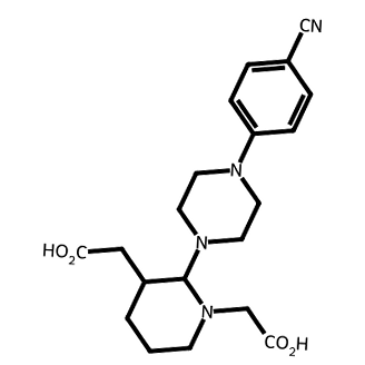 N#Cc1ccc(N2CCN(C3C(CC(=O)O)CCCN3CC(=O)O)CC2)cc1